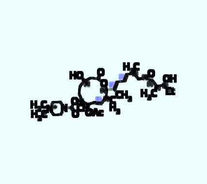 CC[C@H](O)[C@@H](C)[C@H]1O[C@@H]1C[C@H](C)/C=C/C=C(\C)[C@H]1OC(=O)C[C@H](O)CC[C@@](C)(OC(=O)N2CC[N+](C)(C)CC2)[C@@H](OC(C)=O)/C=C/[C@@H]1C